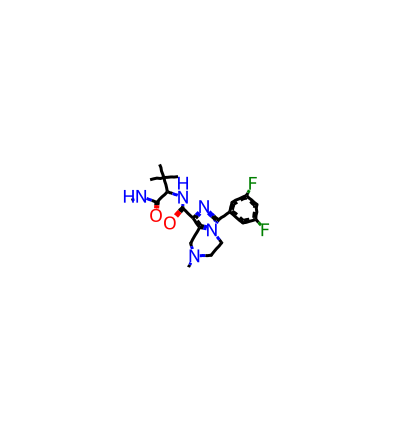 CNC(=O)C(NC(=O)c1nc(-c2cc(F)cc(F)c2)n2c1CN(C)CC2)C(C)(C)C